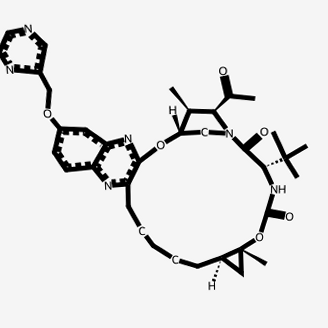 CC(=O)[C@@H]1[C@H](C)[C@@H]2CN1C(=O)[C@H](C(C)(C)C)NC(=O)O[C@]1(C)C[C@H]1CCCCCc1nc3ccc(OCc4cnccn4)cc3nc1O2